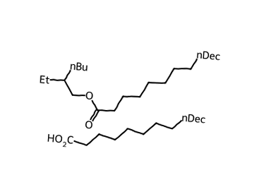 CCCCCCCCCCCCCCCCCC(=O)O.CCCCCCCCCCCCCCCCCC(=O)OCC(CC)CCCC